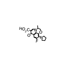 CC1COc2c(N3CCCC3)c(F)cc3c(=O)c(C(=O)O)cn1c23